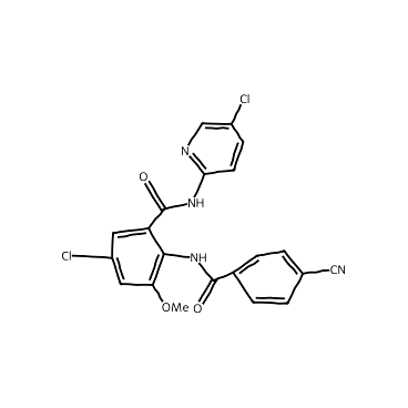 COc1cc(Cl)cc(C(=O)Nc2ccc(Cl)cn2)c1NC(=O)c1ccc(C#N)cc1